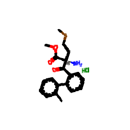 COC(=O)[C@@](N)(CCSC)C(=O)c1ccccc1-c1ccccc1C.Cl